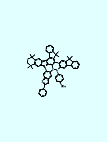 CC(C)(C)c1ccc(N2B3c4cc5cc(-c6ccccc6)sc5cc4-n4c5cc6c(cc5c5c7c(c(c3c54)-c3cc4c(cc32)-c2ccccc2C4(C)C)C(C)(C)c2ccccc2-7)C(C)(C)CCC6(C)C)cc1